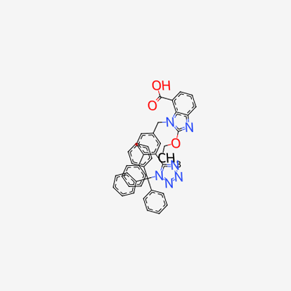 CCOc1nc2cccc(C(=O)O)c2n1Cc1ccc(-c2ccccc2)c(-c2nnnn2C(c2ccccc2)(c2ccccc2)c2ccccc2)c1